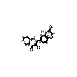 O=CC(=O)[C@@H](CN1CCOCC1)c1ccc2c(c1)NC(=O)CO2